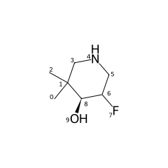 CC1(C)CNCC(F)[C@H]1O